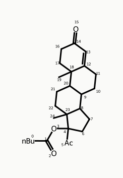 CCCCC(=O)OC1(C(C)=O)CCC2C3CCC4=CC(=O)CCC4(C)C3CCC21C